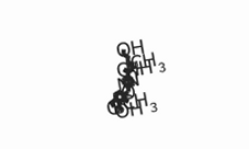 Cc1c(Oc2cnc(C(=O)N[C@@H](C)CCCO)cn2)ccc2c1B(O)OC2